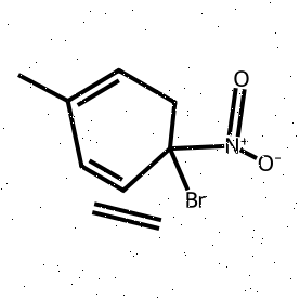 C=C.CC1=CCC(Br)([N+](=O)[O-])C=C1